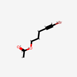 CC(=O)OCCCC#CBr